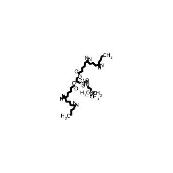 CCCCC1(CCCC2(CCCCC(=O)OCC(COP(=O)([O-])OCC[N+](C)(C)C)OC(=O)CCCCC3(CCCC4(CCCC)N=N4)N=N3)N=N2)N=N1